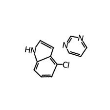 Clc1cccc2[nH]ccc12.c1cncnc1